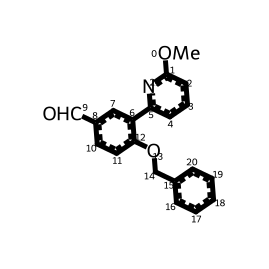 COc1cccc(-c2cc(C=O)ccc2OCc2ccccc2)n1